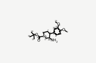 COc1ccc(C2CCN(C(=O)OC(C)(C)C)CC2N)cc1OC